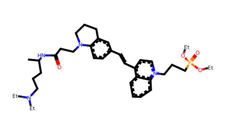 CCOP(=O)(CCC[n+]1ccc(C=Cc2ccc3c(c2)CCCN3CCC(=O)NC(C)CCCN(CC)CC)c2ccccc21)OCC